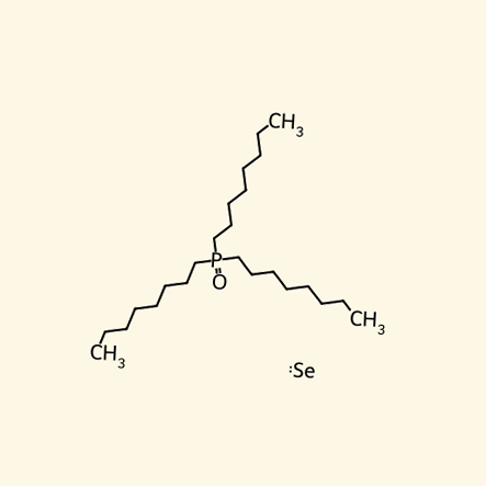 CCCCCCCCP(=O)(CCCCCCCC)CCCCCCCC.[Se]